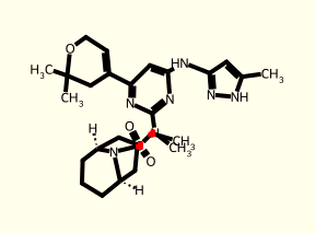 CCS(=O)(=O)N1[C@@H]2CCC[C@H]1C[C@H](N(C)c1nc(Nc3cc(C)[nH]n3)cc(C3=CCOC(C)(C)C3)n1)C2